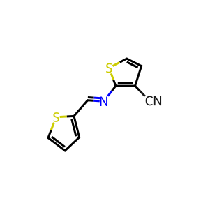 N#Cc1ccsc1/N=C/c1cccs1